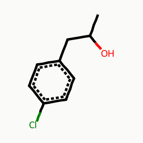 CC(O)Cc1ccc(Cl)cc1